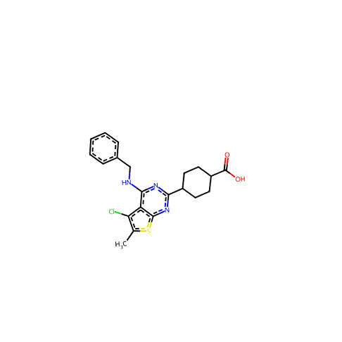 Cc1sc2nc(C3CCC(C(=O)O)CC3)nc(NCc3ccccc3)c2c1Cl